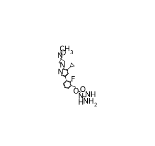 CON=C1CN(c2ncc(-c3cccc(COC(=O)NC(=N)N)c3F)cc2C2CC2)C1